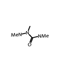 CNC(=O)N(C)NC